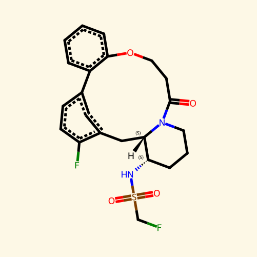 O=C1CCOc2ccccc2-c2ccc(F)c(c2)C[C@H]2[C@@H](NS(=O)(=O)CF)CCCN12